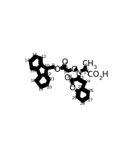 C[C@@H](C(=O)O)N(OCC(=O)OCC1c2ccccc2-c2ccccc21)c1cc2ccccc2oc1=O